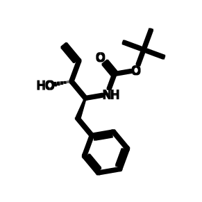 C=C[C@@H](O)[C@H](Cc1ccccc1)NC(=O)OC(C)(C)C